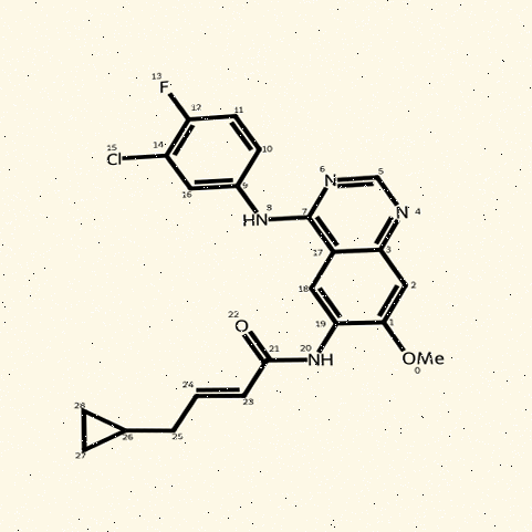 COc1cc2ncnc(Nc3ccc(F)c(Cl)c3)c2cc1NC(=O)C=CCC1CC1